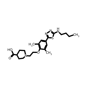 CCCCNc1nnc(-c2cc(C)c(OCCN3CCC(C(=O)O)CC3)c(C)c2)s1